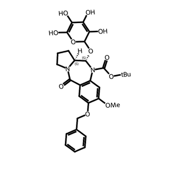 COc1cc2c(cc1OCc1ccccc1)C(=O)N1CCC[C@H]1[C@H](OC1OC(O)=C(O)C(O)=C1O)N2C(=O)OC(C)(C)C